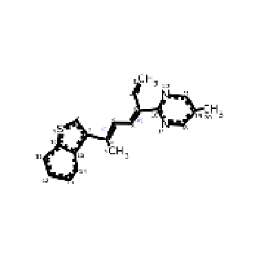 C=C/C(=C\C=C(/C)c1csc2ccccc12)c1ncc(C)cn1